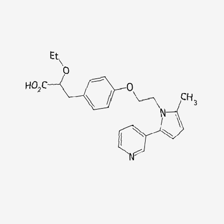 CCOC(Cc1ccc(OCCn2c(C)ccc2-c2cccnc2)cc1)C(=O)O